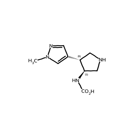 Cn1cc([C@@H]2CNC[C@H]2NC(=O)O)cn1